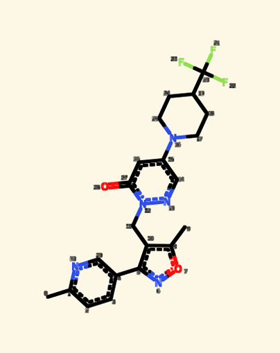 Cc1ccc(-c2noc(C)c2Cn2ncc(N3CCC(C(F)(F)F)CC3)cc2=O)cn1